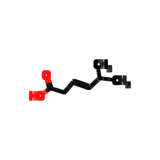 CC(C)C=CCC(=O)O